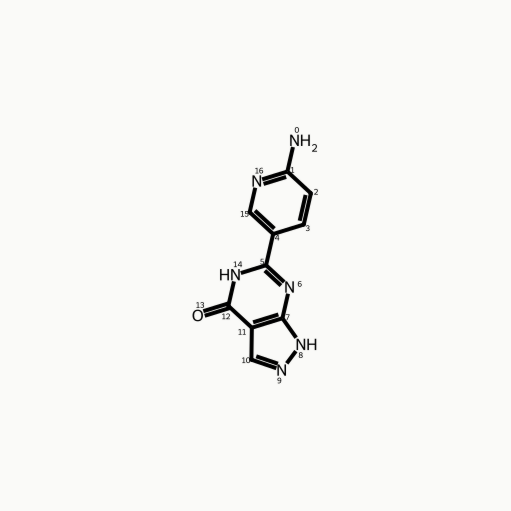 Nc1ccc(-c2nc3[nH]ncc3c(=O)[nH]2)cn1